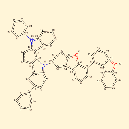 c1ccc(-c2ccc3c(c2)c2ccc4c(c5ccccc5n4-c4ccccc4)c2n3-c2ccc3oc4c(-c5cccc6oc7ccccc7c56)cccc4c3c2)cc1